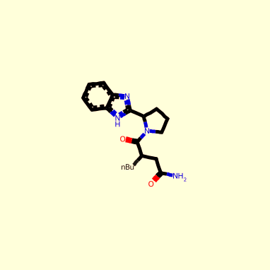 CCCCC(CC(N)=O)C(=O)N1CCCC1c1nc2ccccc2[nH]1